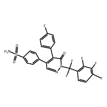 NS(=O)(=O)c1ccc(-c2cnn(C(F)(F)c3ccc(F)c(F)c3F)c(=O)c2-c2ccc(F)cc2)cc1